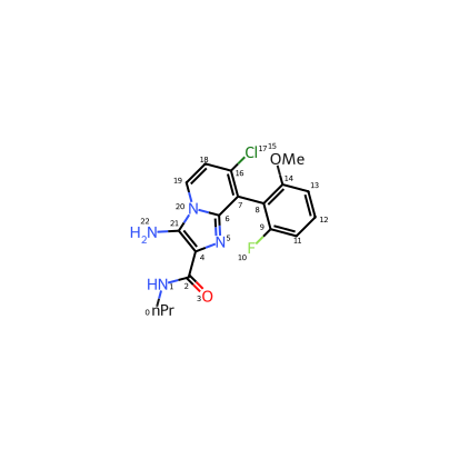 CCCNC(=O)c1nc2c(-c3c(F)cccc3OC)c(Cl)ccn2c1N